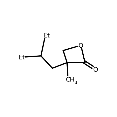 CCC(CC)CC1(C)COC1=O